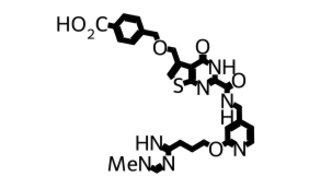 CN/C=N\C(=N)CCCOc1cc(CNC(=O)c2nc3scc(COCc4ccc(C(=O)O)cc4)c3c(=O)[nH]2)ccn1